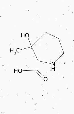 CC1(O)CCCNC1.O=CO